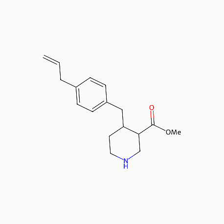 C=CCc1ccc(CC2CCNCC2C(=O)OC)cc1